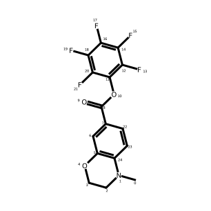 CN1CCOc2cc(C(=O)Oc3c(F)c(F)c(F)c(F)c3F)ccc21